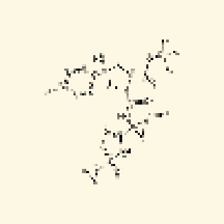 C=C[C@@H]1C[C@]1(NC(=O)[C@@H]1C[C@@](O)(c2ccc(F)cc2)CN1C(=O)OC(C)(C)C)C(=O)NS(=O)(=O)C1CC1